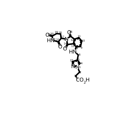 O=C(O)CCn1cc(CNc2cccc3c2C(=O)N(C2CCC(=O)NC2=O)C3=O)cn1